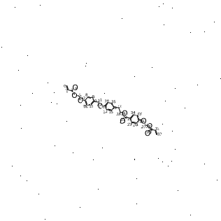 C=CC(=O)OCOc1ccc(COc2ccc(CCOC(=O)c3ccc(OCOC(=O)C=C)cc3)cc2)cc1